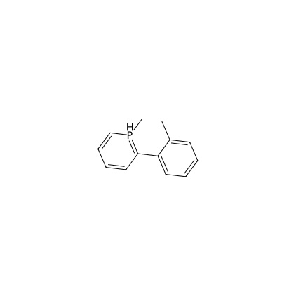 Cc1ccccc1C1=[PH](C)C=CC=C1